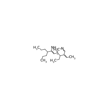 C/C=C(\C=N/C)C(CC)S/C=C(\N)C(CCC)CCC